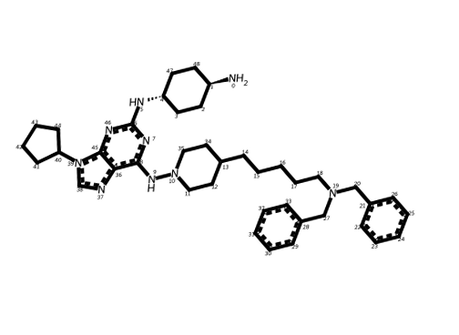 N[C@H]1CC[C@H](Nc2nc(NN3CCC(CCCCCN(Cc4ccccc4)Cc4ccccc4)CC3)c3ncn(C4CCCC4)c3n2)CC1